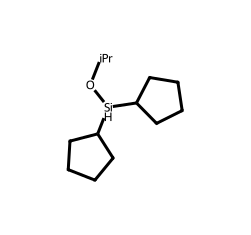 CC(C)O[SiH](C1CCCC1)C1CCCC1